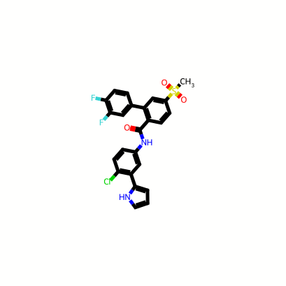 CS(=O)(=O)c1ccc(C(=O)Nc2ccc(Cl)c(-c3ccc[nH]3)c2)c(-c2ccc(F)c(F)c2)c1